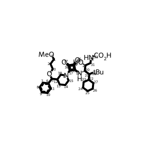 COCCCOC(c1ccccc1)C1CCCN(c2c(N[C@@H](C(C3CCCCC3)C(C)(C)C)[C@H](O)CNC(=O)O)c(=O)c2=O)C1